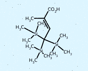 CC(=CC([Si](C)(C)C)([Si](C)(C)C)[Si](C)(C)C)C(=O)O